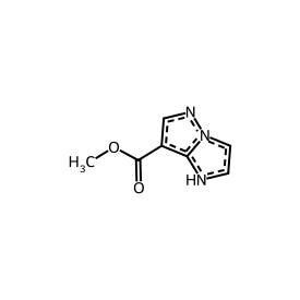 COC(=O)c1cnn2cc[nH]c12